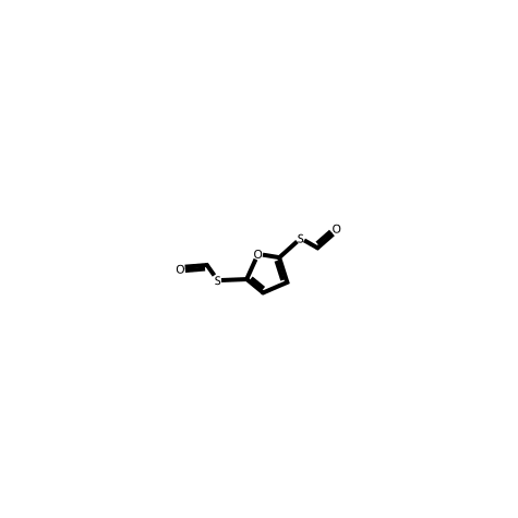 O=CSc1ccc(SC=O)o1